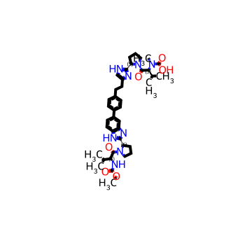 COC(=O)N[C@H](C(=O)N1CCC[C@H]1c1nc2cc(-c3ccc(CCc4c[nH]c([C@@H]5CCCN5C(=O)[C@H](C(C)C)N(C)C(=O)O)n4)cc3)ccc2[nH]1)C(C)C